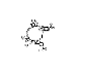 CCn1nc(C)c2c1C(=O)Nc1nc3cc(C(=O)O)ccc3n1C/C=C/Cn1c(nc3cc(C(=O)O)ccc31)NC(=O)c1cc(C)nn1CCCCC2